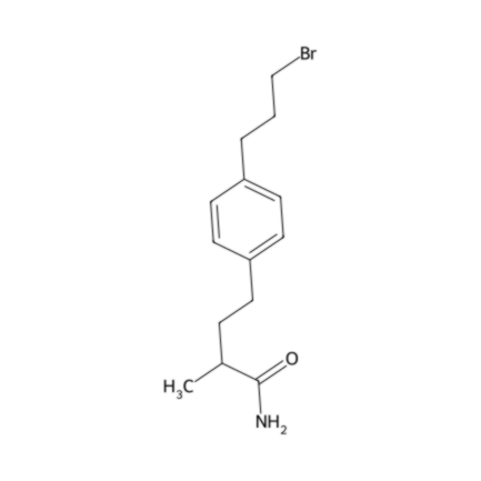 CC(CCc1ccc(CCCBr)cc1)C(N)=O